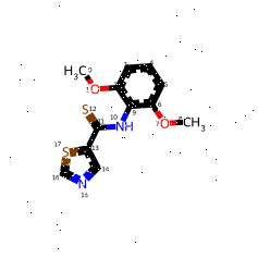 COc1cccc(OC)c1NC(=S)c1cncs1